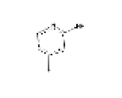 [NH]c1cc(F)ccn1